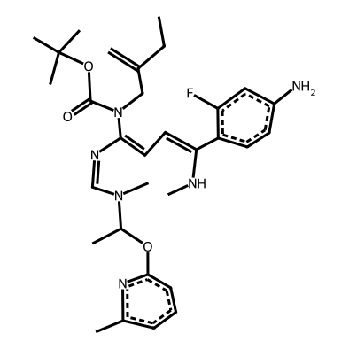 C=C(CC)CN(C(=O)OC(C)(C)C)C(=C\C=C(/NC)c1ccc(N)cc1F)/N=C\N(C)C(C)Oc1cccc(C)n1